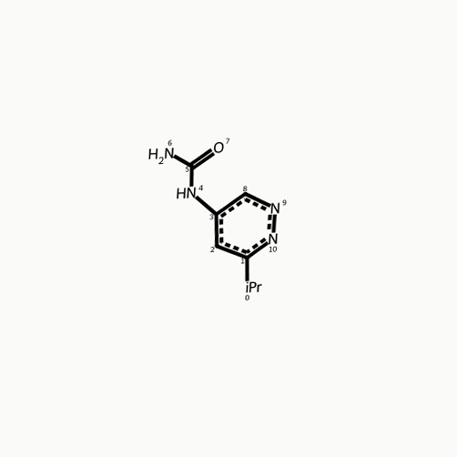 CC(C)c1cc(NC(N)=O)cnn1